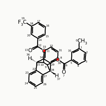 Cc1cccc(C(=O)OC2C(OC(=O)c3cccc(C(F)(F)F)c3)[C@H]3c4ccccc4[C@H]2c2ccccc23)c1